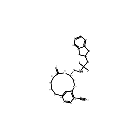 CC(C)(CC1Cc2ccccc2C1)NC[C@@H]1COc2cc(ccc2C#N)CCCCC(=O)O1